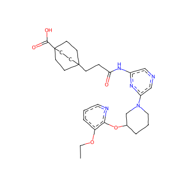 CCOc1cccnc1OC1CCCN(c2cncc(NC(=O)CCC34CCC(C(=O)O)(CC3)CC4)n2)C1